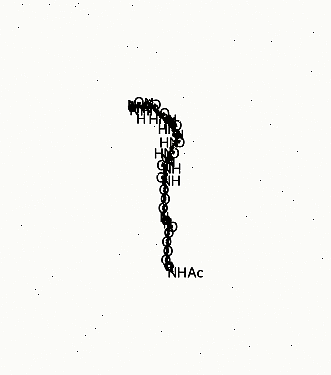 CC(=O)Nc1ccc(OCCOCCOCCOCC(=O)N2CCN(CCOCCOCCOCCNC(=O)CCNC(=O)c3nc(NC(=O)CCNC(=O)c4cc(NC(=O)c5nc(NC(=O)CCNC(=O)c6nc(NC(=O)c7nccn7C)cn6C)cn5C)cn4C)cn3C)CC2)cc1